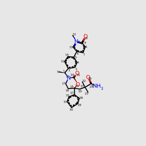 C[C@@H](c1ccc(-c2ccc(=O)n(C)c2)cc1)N1CCC(CC(C)(C)C(N)=O)(c2ccccc2)OC1=O